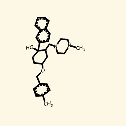 Cc1ccc(COC2CCC(O)(c3ccc4ccccc4c3)C(CN3CCN(C)CC3)C2)cc1